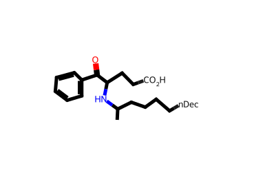 CCCCCCCCCCCCCCC(C)NC(CCC(=O)O)C(=O)c1ccccc1